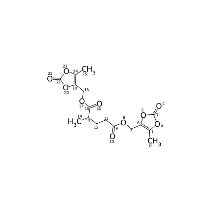 Cc1oc(=O)oc1COC(=O)CCC(C)C(=O)OCc1oc(=O)oc1C